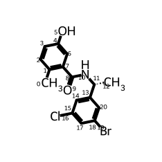 Cc1ccc(O)cc1C(=O)N[C@H](C)c1cc(Cl)cc(Br)c1